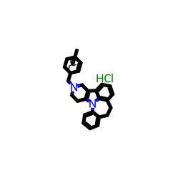 CC12C=CC(CN3CCc4c(c5cccc6c5n4-c4ccccc4CC6)C3)(CC1)CC2.Cl